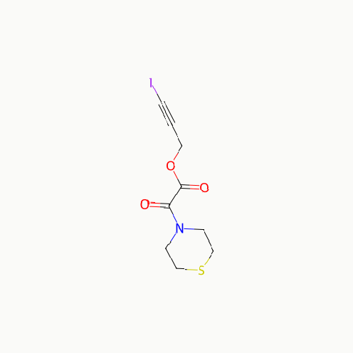 O=C(OCC#CI)C(=O)N1CCSCC1